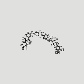 CC1(C)[C@H](NC(=O)c2ccc(N3CCN(CCOc4ccc5c(c4)C(=O)N(C4CCC(=O)NC4=O)C5=O)CC3)nc2)C(C)(C)[C@H]1Oc1ccc(C#N)c(Cl)c1